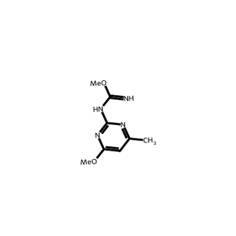 COC(=N)Nc1nc(C)cc(OC)n1